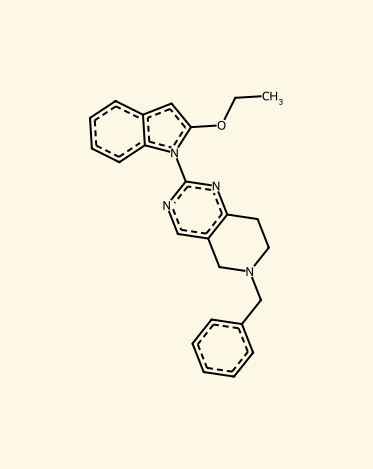 CCOc1cc2ccccc2n1-c1ncc2c(n1)CCN(Cc1ccccc1)C2